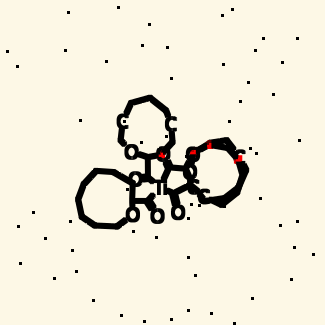 O=[C](C1CCCCCCCCO1)[Ti]([C](=O)C1CCCCCCCCO1)([C](=O)C1CCCCCCCCO1)[C](=O)C1CCCCCCCCO1